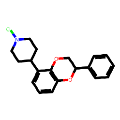 ClN1CCC(c2cccc3c2OCC(c2ccccc2)O3)CC1